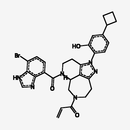 C=CC(=O)N1CCc2nn(-c3ccc(C4CCC4)cc3O)c3c2[C@@H](C1)N(C(=O)c1ccc(Br)c2[nH]cnc12)CC3